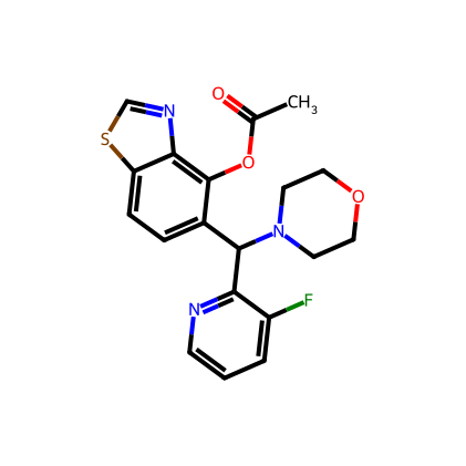 CC(=O)Oc1c(C(c2ncccc2F)N2CCOCC2)ccc2scnc12